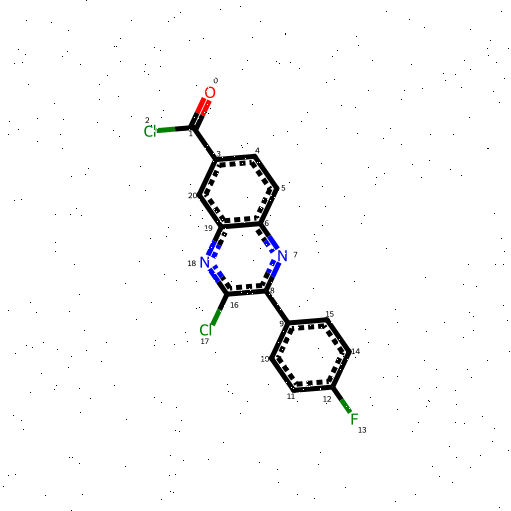 O=C(Cl)c1ccc2nc(-c3ccc(F)cc3)c(Cl)nc2c1